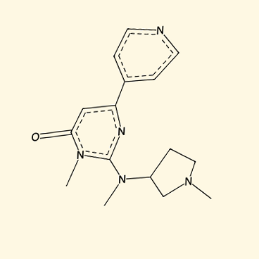 CN1CCC(N(C)c2nc(-c3ccncc3)cc(=O)n2C)C1